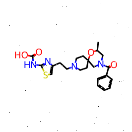 CC1CN(C(=O)c2ccccc2)CC2(CCN(CCc3csc(NC(=O)O)n3)CC2)O1